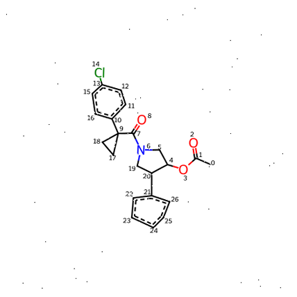 CC(=O)OC1CN(C(=O)C2(c3ccc(Cl)cc3)CC2)CC1c1ccccc1